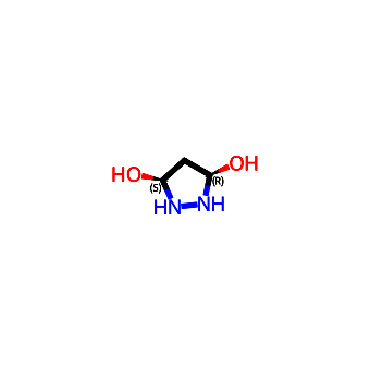 O[C@@H]1C[C@H](O)NN1